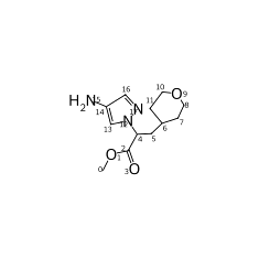 COC(=O)C(CC1CCOCC1)n1cc(N)cn1